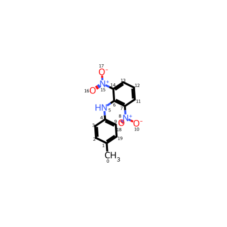 Cc1ccc(Nc2c([N+](=O)[O-])cccc2[N+](=O)[O-])cc1